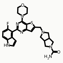 NC(=O)N1CC2CN(Cc3cc4nc(-c5c(F)ccc6[nH]ccc56)nc(N5CCOCC5)c4s3)CC2C1